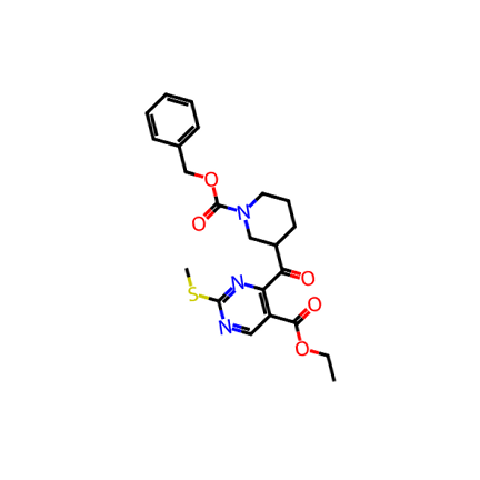 CCOC(=O)c1cnc(SC)nc1C(=O)C1CCCN(C(=O)OCc2ccccc2)C1